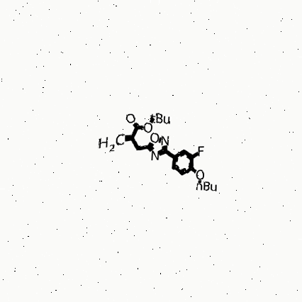 C=C(Cc1nc(-c2ccc(OCCCC)c(F)c2)no1)C(=O)OC(C)(C)C